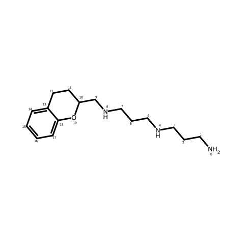 NCCCNCCCNCC1CCc2ccccc2O1